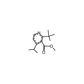 COC(=O)c1c(C(C)C)ccnc1C(C)(C)C